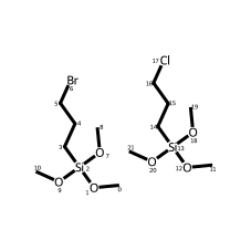 CO[Si](CCCBr)(OC)OC.CO[Si](CCCCl)(OC)OC